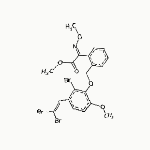 CO/N=C(/C(=O)OC)c1ccccc1COc1c(OC)ccc(C=C(Br)Br)c1Br